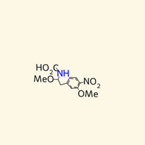 COc1cc(CC(NC(=O)O)OC)ccc1[N+](=O)[O-]